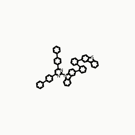 c1ccc(-c2ccc(-c3cc(-c4ccc(-c5ccccc5)cc4)nc(-n4c5ccccc5c5cc(-c6ccccc6-c6ccccc6-c6ccc7sc8ccccc8c7c6)ccc54)n3)cc2)cc1